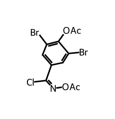 CC(=O)O/N=C(/Cl)c1cc(Br)c(OC(C)=O)c(Br)c1